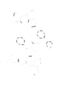 Cc1noc(C)c1-c1ccc(C(=O)N[C@@H](CC(C)C)C(=O)N[C@@H](CC(=O)O)C(N)=O)cc1NC(=O)[C@H](Cc1ccc(O)cc1)NC(=O)[C@@H]1CCC(NC(C)(C)C)N1CC(C)NC(=O)C[C@@H](C)O